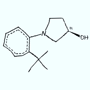 CC(C)(C)c1ccccc1N1CC[C@@H](O)C1